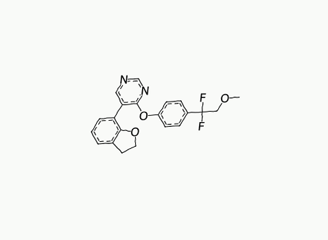 COCC(F)(F)c1ccc(Oc2ncncc2-c2cccc3c2OCC3)cc1